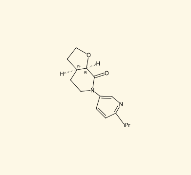 CC(C)c1ccc(N2CC[C@H]3CCO[C@H]3C2=O)cn1